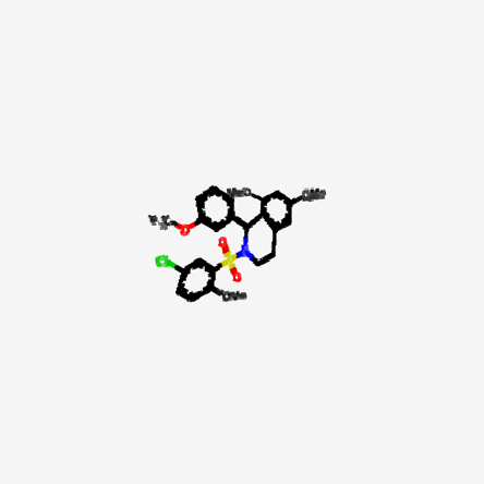 COc1cc2c(c(OC)c1)C(c1cccc(OC(F)(F)F)c1)N(S(=O)(=O)c1cc(Cl)ccc1OC)CC2